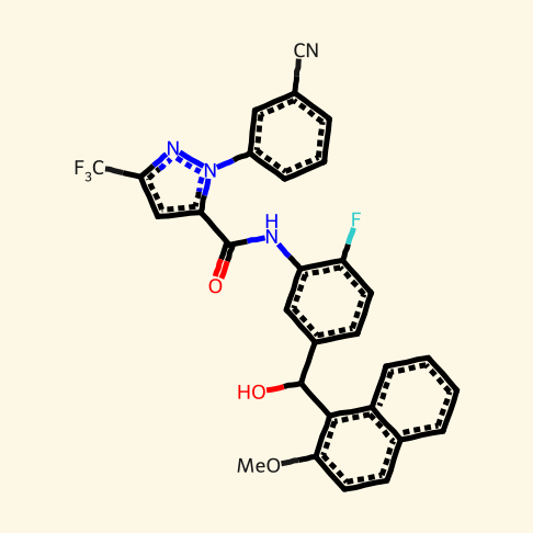 COc1ccc2ccccc2c1C(O)c1ccc(F)c(NC(=O)c2cc(C(F)(F)F)nn2-c2cccc(C#N)c2)c1